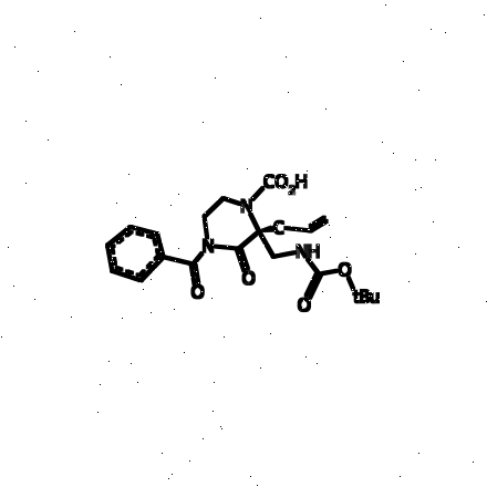 C=CC[C@@]1(CNC(=O)OC(C)(C)C)C(=O)N(C(=O)c2ccccc2)CCN1C(=O)O